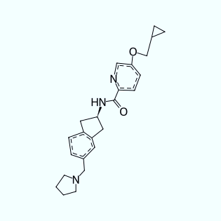 O=C(N[C@@H]1Cc2ccc(CN3CCCC3)cc2C1)c1ccc(OCC2CC2)cn1